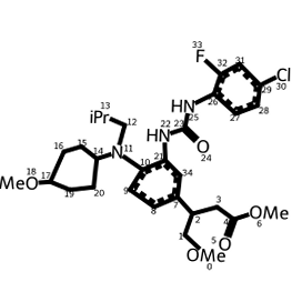 COCC(CC(=O)OC)c1ccc(N(CC(C)C)C2CCC(OC)CC2)c(NC(=O)Nc2ccc(Cl)cc2F)c1